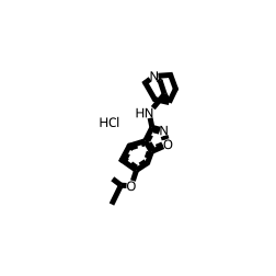 CC(C)Oc1ccc2c(NC3CN4CCC3CC4)noc2c1.Cl